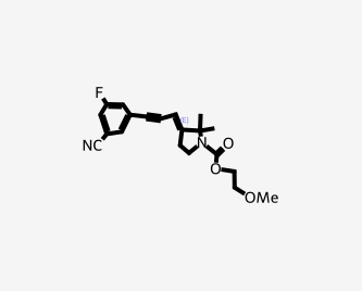 COCCOC(=O)N1CC/C(=C\C#Cc2cc(F)cc(C#N)c2)C1(C)C